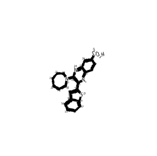 O=C(O)c1ccc2nc(-c3cc4ccccc4s3)c(N3CCCCCC3)nc2c1